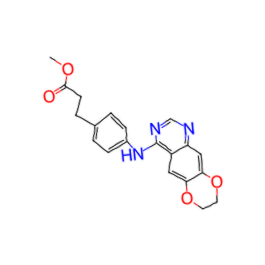 COC(=O)CCc1ccc(Nc2ncnc3cc4c(cc23)OCCO4)cc1